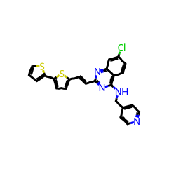 Clc1ccc2c(NCc3ccncc3)nc(C=Cc3ccc(-c4cccs4)s3)nc2c1